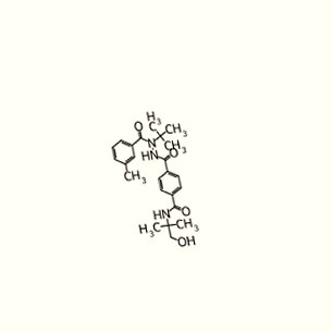 Cc1cccc(C(=O)N(NC(=O)c2ccc(C(=O)NC(C)(C)CO)cc2)C(C)(C)C)c1